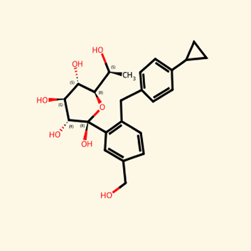 C[C@H](O)[C@H]1O[C@](O)(c2cc(CO)ccc2Cc2ccc(C3CC3)cc2)[C@H](O)[C@@H](O)[C@@H]1O